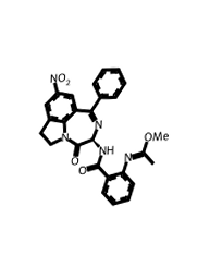 COC(C)=Nc1ccccc1C(=O)N[C@@H]1N=C(c2ccccc2)c2cc([N+](=O)[O-])cc3c2N(CC3)C1=O